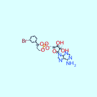 C[C@@]1(O)[C@H](O)[C@@H](COP2(=O)OCC[C@@H](c3cccc(Br)c3)O2)O[C@H]1n1cnc2c(N)ncnc21